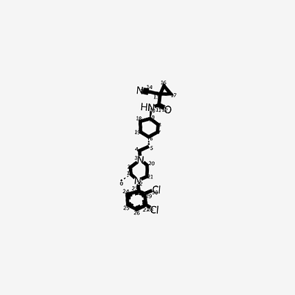 C[C@@H]1CN(CC[C@H]2CC[C@H](NC(=O)C3(C#N)CC3)CC2)CCN1c1cccc(Cl)c1Cl